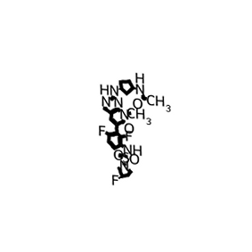 CC(=O)N[C@@H]1CC[C@@H](Nc2ncc3cc(-c4c(F)ccc(NS(=O)(=O)N5CC[C@@H](F)C5)c4F)c(=O)n(C)c3n2)C1